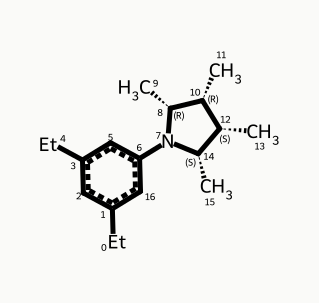 CCc1cc(CC)cc(N2[C@H](C)[C@H](C)[C@H](C)[C@@H]2C)c1